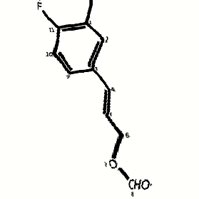 Cc1cc(C=CCO[C]=O)ccc1F